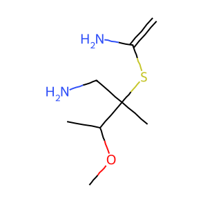 C=C(N)SC(C)(CN)C(C)OC